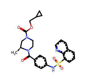 C[C@H]1CN(C(=O)OCC2CC2)CCN1C(=O)c1ccc(NS(=O)(=O)c2cccc3cccnc23)cc1